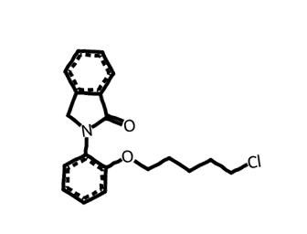 O=C1c2ccccc2CN1c1ccccc1OCCCCCCl